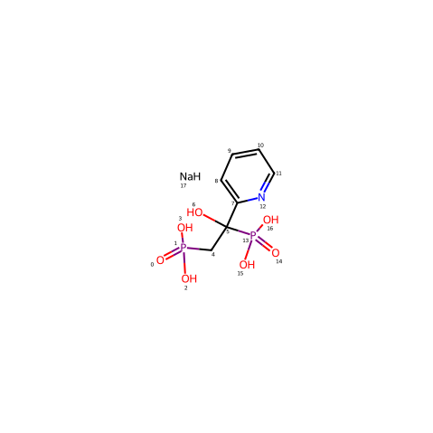 O=P(O)(O)CC(O)(c1ccccn1)P(=O)(O)O.[NaH]